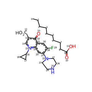 CCCCCCCCCC(=O)O.O=C(O)c1cn(C2CC2)c2cc(N3CCNCC3)c(F)cc2c1=O